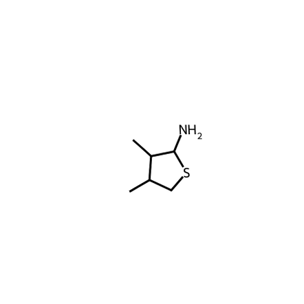 CC1CSC(N)C1C